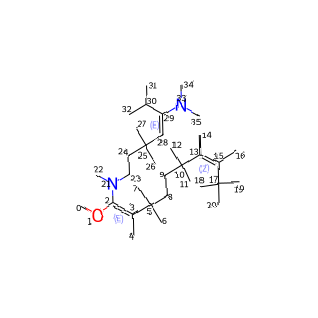 CO/C(=C(\C)C(C)(C)CCC(C)(C)/C(C)=C(/C)C(C)(C)C)N(C)CCC(C)(C)/C=C(\C(C)C)N(C)C